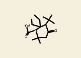 CCC1(CC)C(C(C)(C)C)C(=O)CC(C)(C)N1C(=O)O